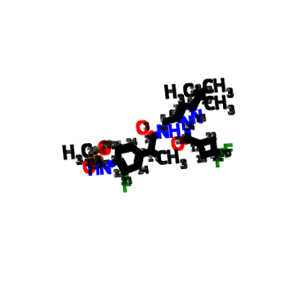 CC(C(=O)NCc1cc(C(C)(C)C)nn1C(=O)C1CC(F)(F)C1)c1ccc(NS(C)(=O)=O)c(F)c1